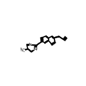 C=CCc1ccc2cc(-c3ncc(C#N)cn3)ccc2c1